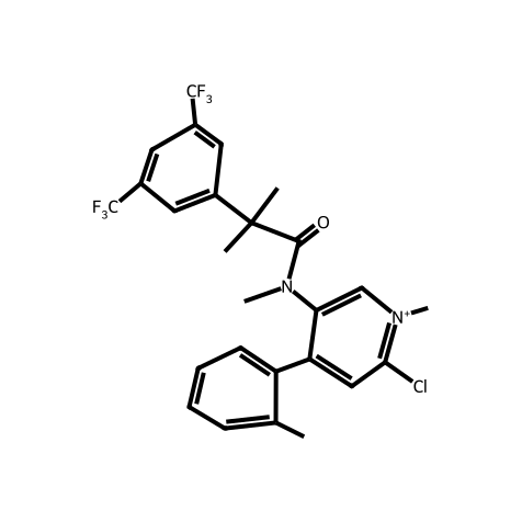 Cc1ccccc1-c1cc(Cl)[n+](C)cc1N(C)C(=O)C(C)(C)c1cc(C(F)(F)F)cc(C(F)(F)F)c1